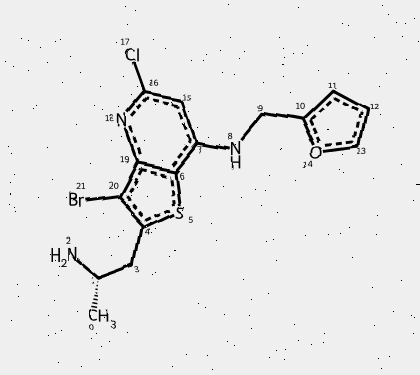 C[C@H](N)Cc1sc2c(NCc3ccco3)cc(Cl)nc2c1Br